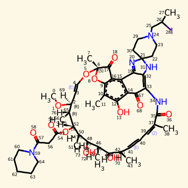 CO[C@H]1/C=C/O[C@@]2(C)Oc3c(C)c(O)c4c(c3C2=O)C2=NC3(CCN(CC(C)I)CC3)NC2=C(NC(=O)/C(C)=C\C=C\[C@H](C)[C@H](O)[C@@H](C)[C@@H](O)[C@@H](C)[C@H](OC(=O)CC(=O)N2CCCCC2)[C@@H]1C)C4=O